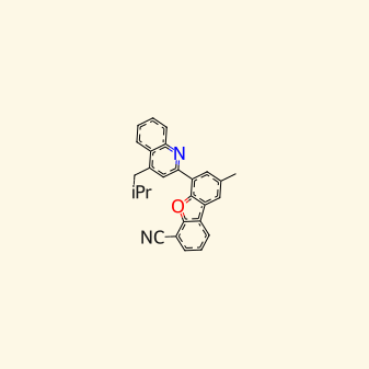 Cc1cc(-c2cc(CC(C)C)c3ccccc3n2)c2oc3c(C#N)cccc3c2c1